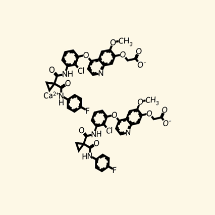 COc1cc2c(Oc3cccc(NC(=O)C4(C(=O)Nc5ccc(F)cc5)CC4)c3Cl)ccnc2cc1OCC(=O)[O-].COc1cc2c(Oc3cccc(NC(=O)C4(C(=O)Nc5ccc(F)cc5)CC4)c3Cl)ccnc2cc1OCC(=O)[O-].[Ca+2]